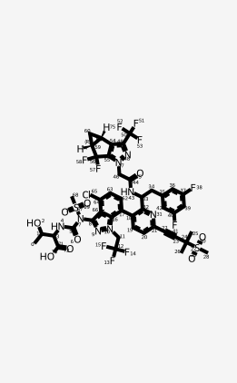 CC(O)C(NC(=O)N(c1nn(CC(F)(F)F)c2c(-c3ccc(C#CC(C)(C)S(C)(=O)=O)nc3C(Cc3cc(F)cc(F)c3)NC(=O)Cn3nc(C(F)(F)F)c4c3C(F)(F)[C@@H]3C[C@H]43)ccc(Cl)c12)S(C)(=O)=O)C(=O)O